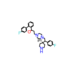 CC(C)C1(C(CN2CCN(CCC(=O)c3ccccc3-c3ccc(F)cc3)CC2)c2ccc(F)cc2)CCNCC1